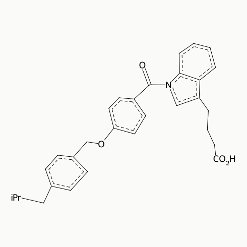 CC(C)Cc1ccc(COc2ccc(C(=O)n3cc(CCCC(=O)O)c4ccccc43)cc2)cc1